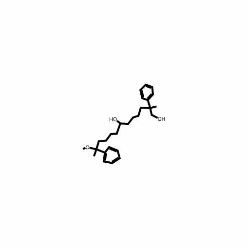 COC(C)(CCCCC(O)CCCCC(C)(CO)c1ccccc1)c1ccccc1